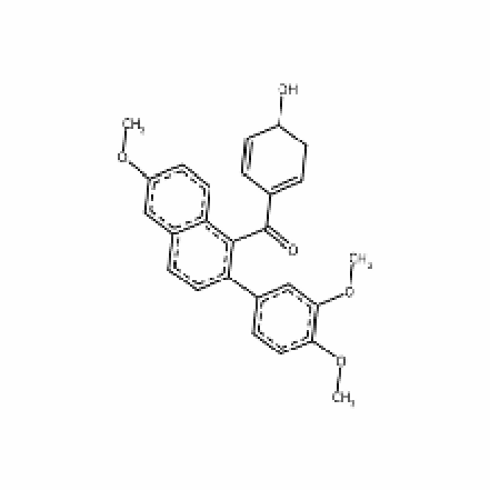 COc1ccc2c(C(=O)C3=CCC(O)C=C3)c(-c3ccc(OC)c(OC)c3)ccc2c1